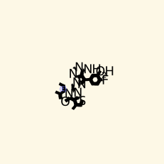 C=C(C)/C(=C\C)n1c(Cn2nc(-c3ccc(F)c(O)c3)c3c(N)ncnc32)nc2scc(C)c2c1=O